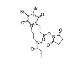 C=CC(=O)NCCCn1c(=O)c(Br)c(Br)c(=O)n1CCC(=O)ON1C(=O)CCC1=O